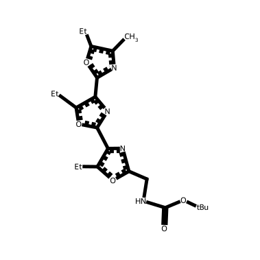 CCc1oc(-c2nc(-c3nc(CNC(=O)OC(C)(C)C)oc3CC)oc2CC)nc1C